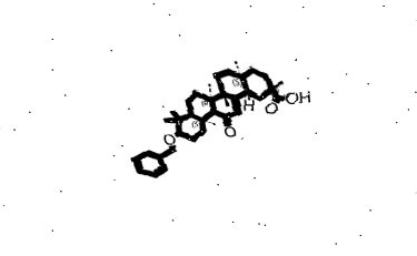 CC1(C)C(OCc2ccccc2)CC[C@@]2(C)C1CC[C@]1(C)C2C(=O)C=C2[C@@H]3C[C@@](C)(C(=O)O)CC[C@]3(C)CC[C@]21C